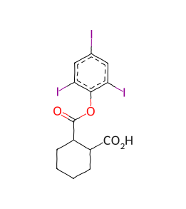 O=C(O)C1CCCCC1C(=O)Oc1c(I)cc(I)cc1I